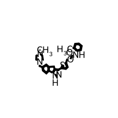 Cc1ccccc1NC(=O)OCc1ccc(-c2n[nH]c3c2Cc2cc(CN4CCN(C)CC4)ccc2-3)s1